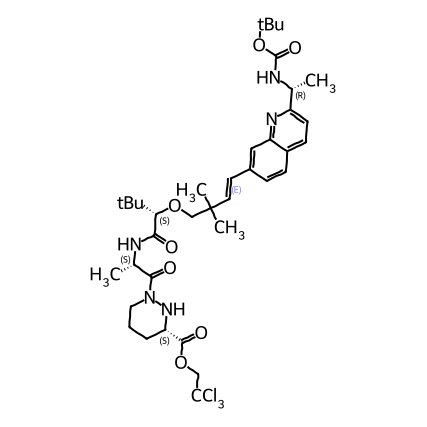 C[C@H](NC(=O)[C@@H](OCC(C)(C)/C=C/c1ccc2ccc([C@@H](C)NC(=O)OC(C)(C)C)nc2c1)C(C)(C)C)C(=O)N1CCC[C@@H](C(=O)OCC(Cl)(Cl)Cl)N1